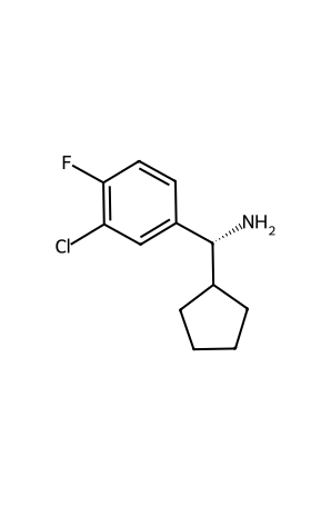 N[C@@H](c1ccc(F)c(Cl)c1)C1CCCC1